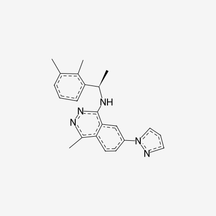 Cc1cccc([C@@H](C)Nc2nnc(C)c3ccc(-n4cccn4)cc23)c1C